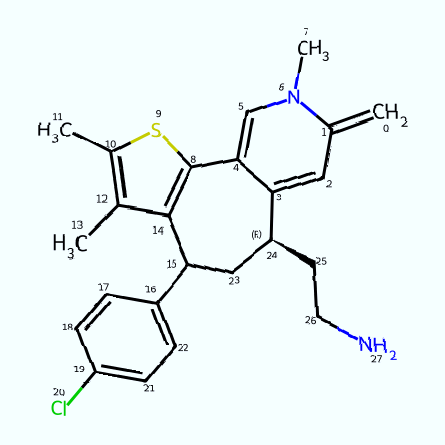 C=C1C=C2C(=CN1C)c1sc(C)c(C)c1C(c1ccc(Cl)cc1)C[C@@H]2CCN